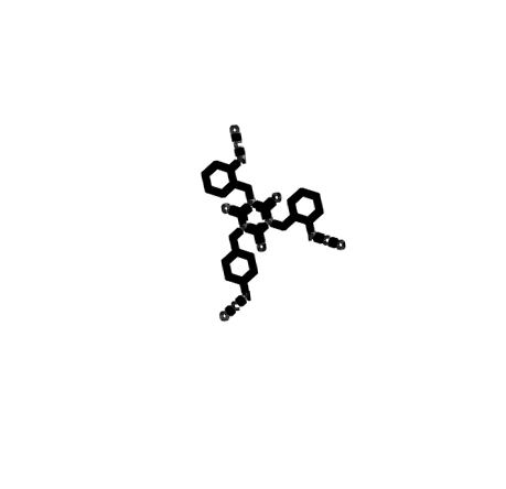 O=C=NC1CCC(Cn2c(=O)n(CC3CCCCC3N=C=O)c(=O)n(CC3CCCCC3N=C=O)c2=O)CC1